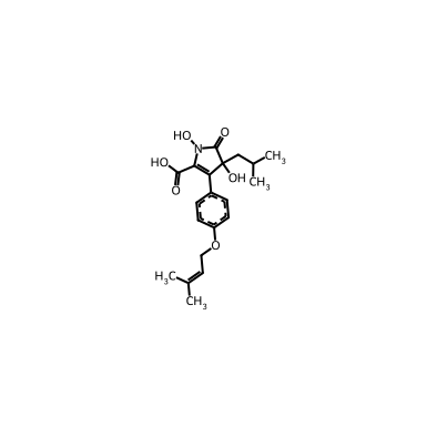 CC(C)=CCOc1ccc(C2=C(C(=O)O)N(O)C(=O)C2(O)CC(C)C)cc1